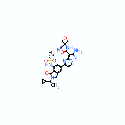 C[C@@H](C1CC1)N1Cc2cc(-c3ccn4nc(N)c(C(=O)NC5(C#N)COC5)c4n3)cc(NS(C)(=O)=O)c2C1=O